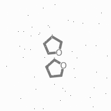 [CH]1CCCO1.[CH]1CCOC1